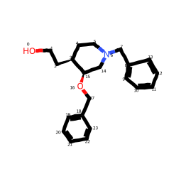 OCC[C@H]1CCN(Cc2ccccc2)C[C@H]1OCc1ccccc1